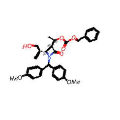 C=C(CO)[C@@H]1[C@@H]([C@@H](C)OC(=O)OCc2ccccc2)C(=O)N1C(c1ccc(OC)cc1)c1ccc(OC)cc1